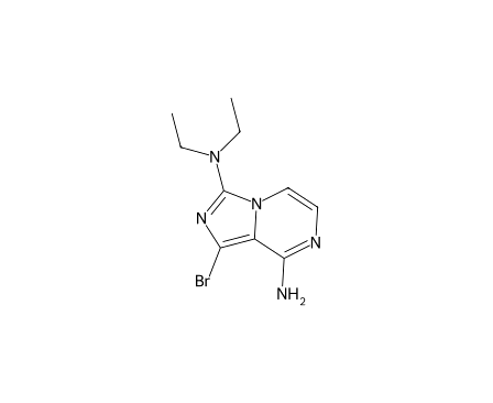 CCN(CC)c1nc(Br)c2c(N)nccn12